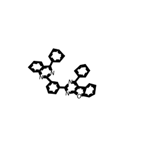 c1ccc(-c2nc(-c3cccc(-c4nc(-c5ccccc5)c5c(n4)oc4ccccc45)c3)nc3ccccc23)cc1